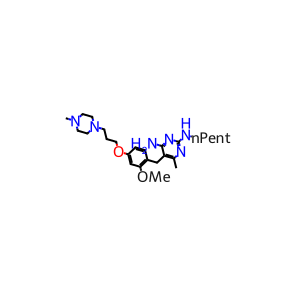 CCCCCNc1nc(C)c(Cc2ccc(OCCCN3CCN(C)CC3)cc2OC)c(N)n1